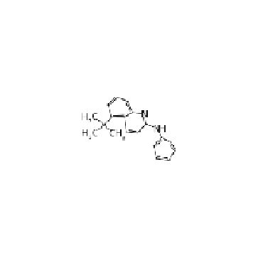 CC(C)(C)c1cccc2nc(Nc3ccccc3)ccc12